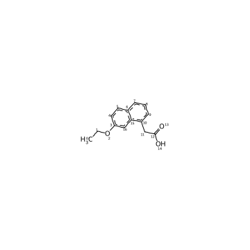 CCOc1ccc2cccc(CC(=O)O)c2c1